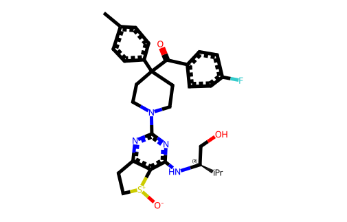 Cc1ccc(C2(C(=O)c3ccc(F)cc3)CCN(c3nc4c(c(N[C@@H](CO)C(C)C)n3)[S+]([O-])CC4)CC2)cc1